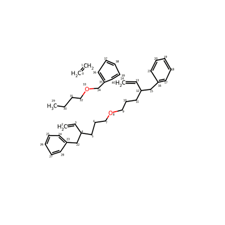 C=C.C=CC(CCCOCCCC(C=C)Cc1ccccc1)Cc1ccccc1.CCCCOCc1ccccc1